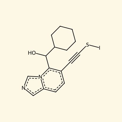 OC(c1c(C#CSI)ccc2cncn12)C1CCCCC1